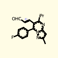 Cc1cc2nc(C(C)C)c(/C=C/C=O)c(-c3ccc(F)cc3)n2n1